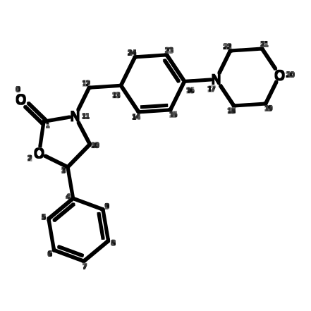 O=C1OC(c2ccccc2)CN1CC1C=CC(N2CCOCC2)=CC1